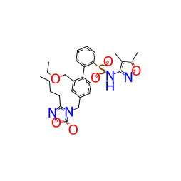 CCCCc1noc(=O)n1Cc1ccc(-c2ccccc2S(=O)(=O)Nc2noc(C)c2C)c(COCC)c1